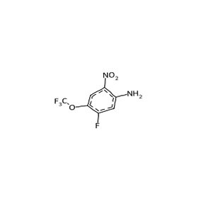 Nc1cc(F)c(OC(F)(F)F)cc1[N+](=O)[O-]